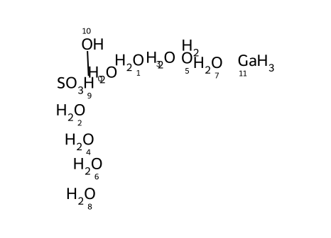 O.O.O.O.O.O.O.O.O.O=S(=O)(O)O.[GaH3]